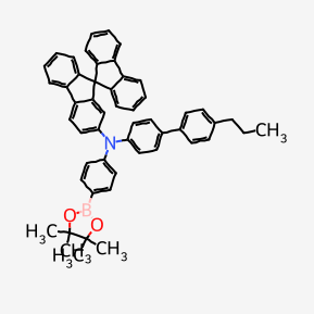 CCCc1ccc(-c2ccc(N(c3ccc(B4OC(C)(C)C(C)(C)O4)cc3)c3ccc4c(c3)C3(c5ccccc5-c5ccccc53)c3ccccc3-4)cc2)cc1